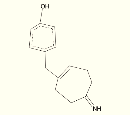 N=C1CCC=C(Cc2ccc(O)cc2)CC1